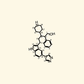 OCC(c1ccccc1)C(CCc1c[nH]c2ccc(-n3cnnc3)cc12)C1CCNCC1